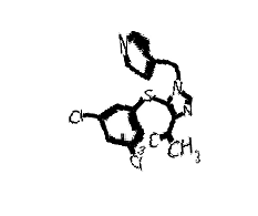 CC(C)c1ncn(Cc2ccncc2)c1Sc1cc(Cl)cc(Cl)c1